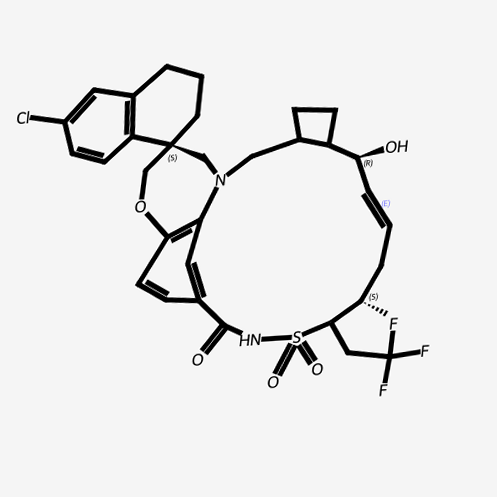 C[C@H]1C/C=C/[C@H](O)C2CCC2CN2C[C@@]3(CCCc4cc(Cl)ccc43)COc3ccc(cc32)C(=O)NS(=O)(=O)C1CC(F)(F)F